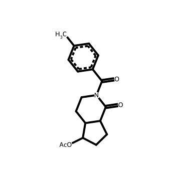 CC(=O)OC1CCC2C(=O)N(C(=O)c3ccc(C)cc3)CCC12